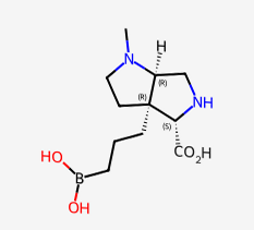 CN1CC[C@]2(CCCB(O)O)[C@@H](C(=O)O)NC[C@H]12